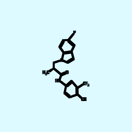 C[C@@H](Cn1ccc2cc(F)ccc21)C(=O)Nc1ccc(C#N)c(C(F)(F)F)c1